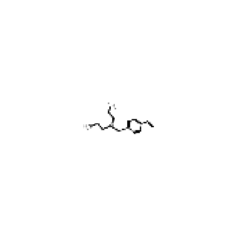 C=Cc1ccc(CN(CCN)CCN)cc1